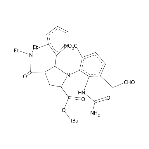 CCN(CC)C(=O)C1CC(C(=O)OC(C)(C)C)N(c2c(C(=O)O)ccc(CC=O)c2NC(N)=O)C1c1ccccc1F